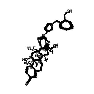 C[C@]12C=CC(=O)C=C1CC[C@H]1[C@@H]3C[C@H]4O[C@@H](c5ccn(Cc6ccccc6CO)c5)O[C@@]4(C(=O)CO)[C@@]3(C)C[C@H](O)[C@@]12F